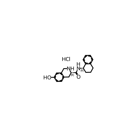 Cl.O=C(N[C@@H]1CCCc2ccccc21)[C@H]1Cc2ccc(O)cc2CN1